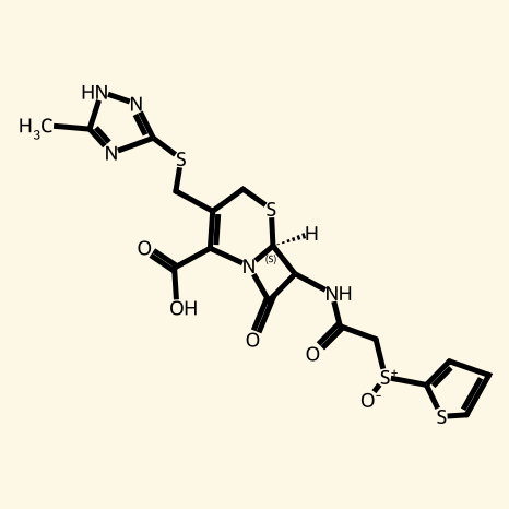 Cc1nc(SCC2=C(C(=O)O)N3C(=O)C(NC(=O)C[S+]([O-])c4cccs4)[C@@H]3SC2)n[nH]1